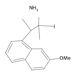 COc1ccc2cccc(C(C)C(C)(C)I)c2c1.N